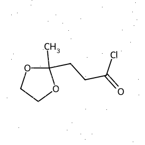 CC1(CCC(=O)Cl)OCCO1